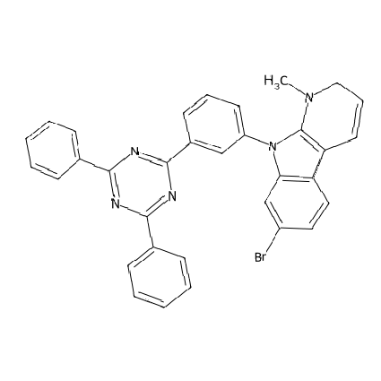 CN1CC=Cc2c1n(-c1cccc(-c3nc(-c4ccccc4)nc(-c4ccccc4)n3)c1)c1cc(Br)ccc21